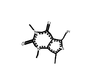 Cc1sc(C(C)C)c2c(=O)n(C)c(=O)n(C)c12